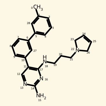 Cc1cccc(-c2cccc(-c3cnc(N)nc3NCCCN3CC=CC3)c2)c1